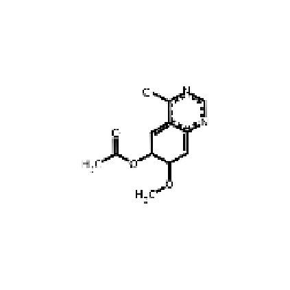 COC1C=c2ncnc(Cl)c2=CC1OC(C)=O